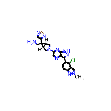 Cn1cc2c(Cl)c(-c3n[nH]c4nc(N5C[C@@H]6[C@H](C5)C6(CN)c5cnsn5)cnc34)ccc2n1